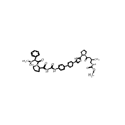 COC(=O)NCC(C)CC(=O)N1CCCC1c1ncc(-c2ccc(-c3ccc(NC(=O)NC(=O)C4CCCN4C(=O)C(c4ccccc4)N(C)C)cc3)cc2)[nH]1